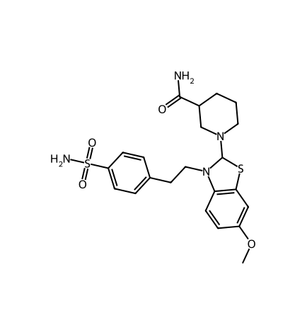 COc1ccc2c(c1)SC(N1CCCC(C(N)=O)C1)N2CCc1ccc(S(N)(=O)=O)cc1